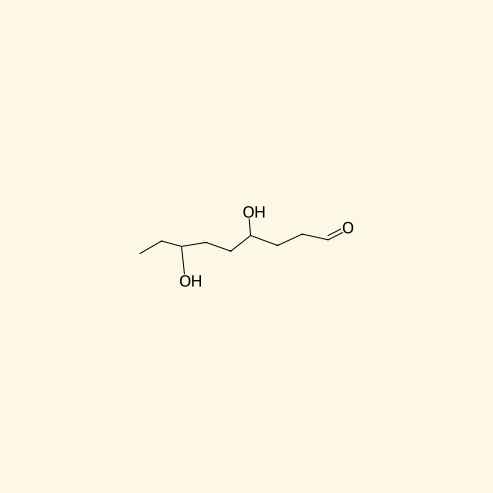 CCC(O)CCC(O)CCC=O